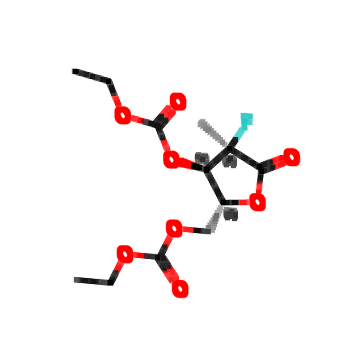 CCOC(=O)OC[C@H]1OC(=O)[C@](C)(F)[C@@H]1OC(=O)OCC